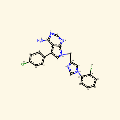 Nc1ncnc2c1c(-c1ccc(Cl)cc1)cn2Cc1cn(-c2ccccc2F)cn1